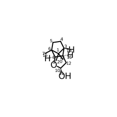 CC1(C)[C@@H]2CCC1(C)[C@@H]1O[C@H](O)C[C@H]21